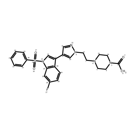 CC(=O)N1CCN(CCn2cc(-c3cn(S(=O)(=O)c4ccccc4)c4cc(F)ccc34)cn2)CC1